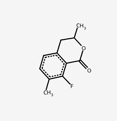 Cc1ccc2c(c1F)C(=O)OC(C)C2